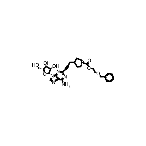 Nc1nc(C#CCC2CCN(C(=O)OCCOCc3ccccc3)CC2)nc2c1ncn2[C@@H]1O[C@H](CO)[C@@H](O)[C@H]1O